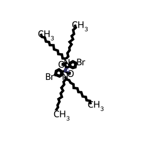 CCCCCCCCCCCCC(CCCCCCCCCCCC)N1C(=O)/C(=C2/C(=O)N(C(CCCCCCCCCCCC)CCCCCCCCCCCC)c3cc(Br)ccc32)c2ccc(Br)cc21